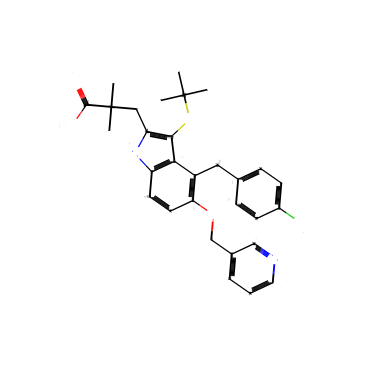 CC(C)(C)Sc1c(CC(C)(C)C(=O)O)[nH]c2ccc(OCc3cccnc3)c(Cc3ccc(Cl)cc3)c12